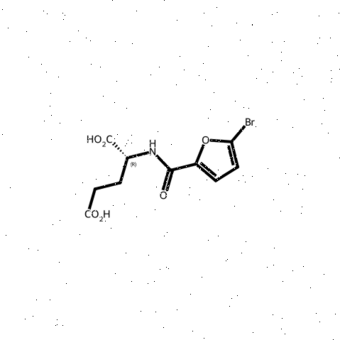 O=C(O)CC[C@@H](NC(=O)c1ccc(Br)o1)C(=O)O